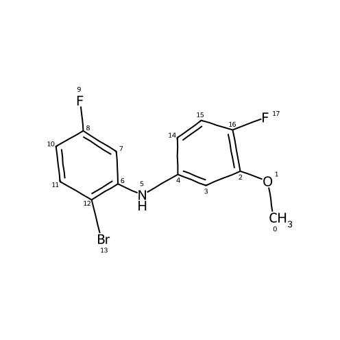 COc1cc(Nc2cc(F)ccc2Br)ccc1F